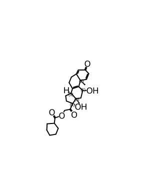 C[C@]12C=CC(=O)C=C1CCC1=C2[C@@H](O)C[C@@]2(C)[C@H]1CC[C@]2(O)C(=O)COC(=O)C1CCCCC1